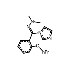 CCCOc1ccccc1C(=NN(C)C)n1ccnc1